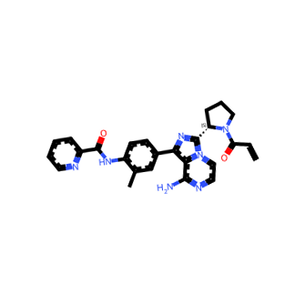 C=CC(=O)N1CCC[C@H]1c1nc(-c2ccc(NC(=O)c3ccccn3)c(C)c2)c2c(N)nccn12